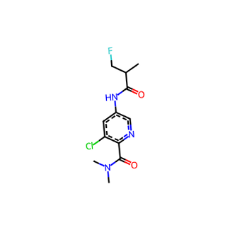 CC(CF)C(=O)Nc1cnc(C(=O)N(C)C)c(Cl)c1